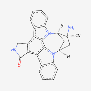 N#C[C@]1(N)C[C@@H]2C[C@H]1n1c3ccccc3c3c4c(c5c6ccccc6n2c5c31)C(=O)NC4